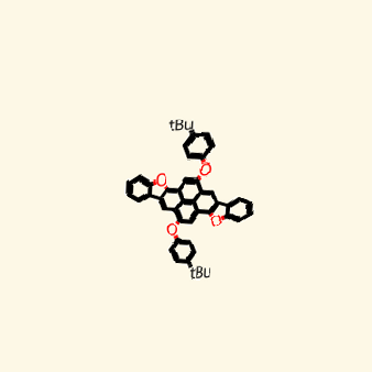 CC(C)(C)c1ccc(Oc2cc3c4oc5ccccc5c4cc4c(Oc5ccc(C(C)(C)C)cc5)cc5c6oc7ccccc7c6cc2c5c43)cc1